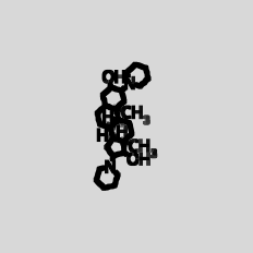 C[C@]12CC(N3CCCCC3)C(O)CC1CC[C@@H]1[C@H]2CC[C@]2(C)C(O)C(N3CCCCC3)C[C@@H]12